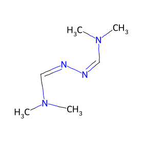 CN(C)/C=N\N=C/N(C)C